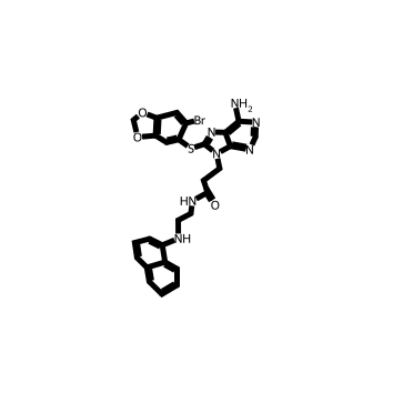 Nc1ncnc2c1nc(Sc1cc3c(cc1Br)OCO3)n2CCC(=O)NCCNc1cccc2ccccc12